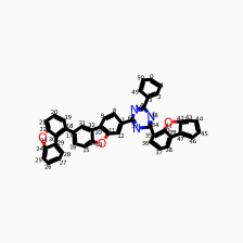 c1ccc(-c2nc(-c3ccc4c(c3)oc3ccc(-c5cccc6oc7ccccc7c56)cc34)nc(-c3cccc4c3oc3ccccc34)n2)cc1